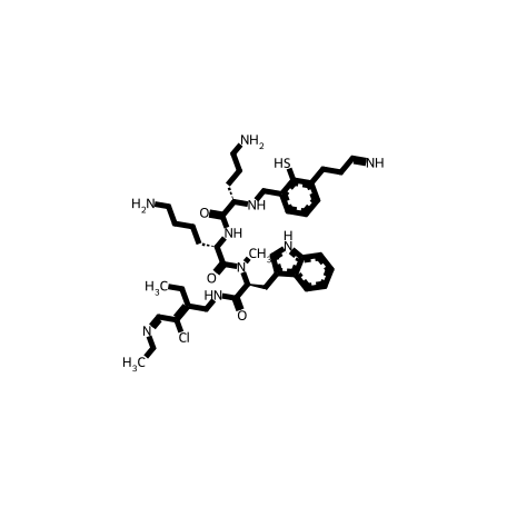 CC/N=C\C(Cl)=C(/CC)CNC(=O)[C@H](Cc1c[nH]c2ccccc12)N(C)C(=O)[C@H](CCCCN)NC(=O)[C@H](CCCN)NCc1cccc(CCC=N)c1S